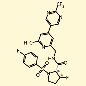 Cc1cc(-c2cnc(C(F)(F)F)nc2)cc(CNC(=O)[C@@H]2[C@@H](F)CCN2S(=O)(=O)c2ccc(F)cc2)n1